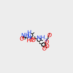 COCCCOc1cc(C[C@@H](C[C@H](N)[C@@H](O)C[C@H](C(=O)NCC(C)(C)C(N)=O)C(C)C)C(C)C)cc2c1OCO2